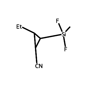 CCC1C(C#N)C1[Si](C)(F)F